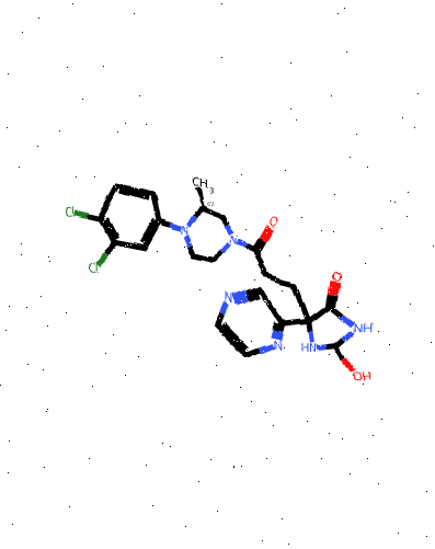 C[C@H]1CN(C(=O)CCC2(c3cnccn3)NC(O)NC2=O)CCN1c1ccc(Cl)c(Cl)c1